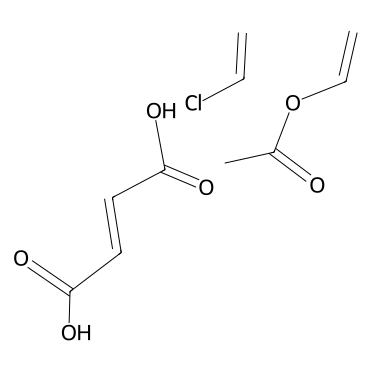 C=CCl.C=COC(C)=O.O=C(O)C=CC(=O)O